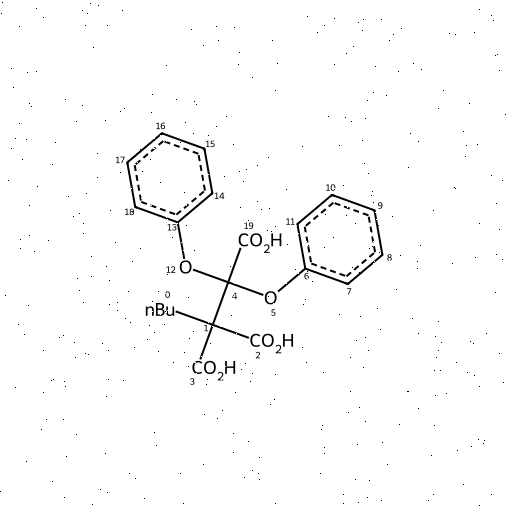 CCCCC(C(=O)O)(C(=O)O)C(Oc1ccccc1)(Oc1ccccc1)C(=O)O